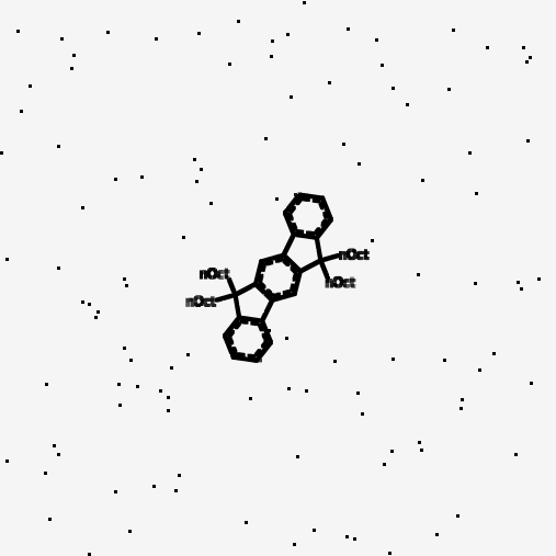 CCCCCCCCC1(CCCCCCCC)c2cc[c]cc2-c2cc3c(cc21)-c1c[c]ccc1C3(CCCCCCCC)CCCCCCCC